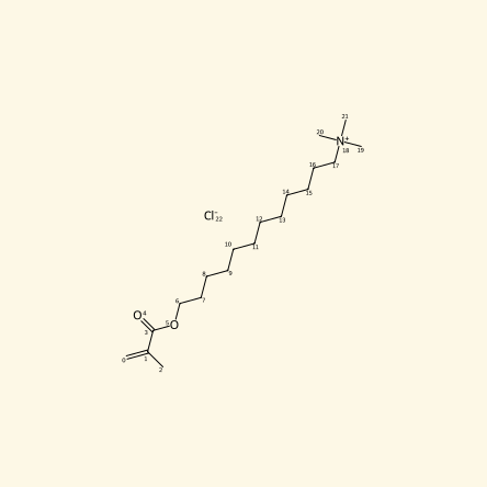 C=C(C)C(=O)OCCCCCCCCCCCC[N+](C)(C)C.[Cl-]